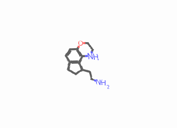 NCCC1CCc2ccc3c(c21)NCCO3